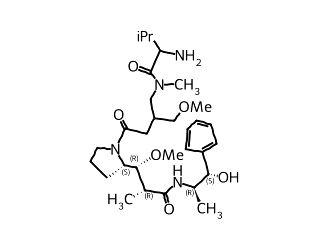 COCC(CC(=O)N1CCC[C@H]1[C@H](OC)[C@@H](C)C(=O)N[C@H](C)[C@@H](O)c1ccccc1)CN(C)C(=O)C(N)C(C)C